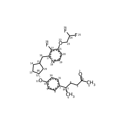 CC(=O)CC[C@@H](C)c1ccc(O[C@@H]2CCC(Cc3nccc(OCC(F)F)c3F)C2)cc1